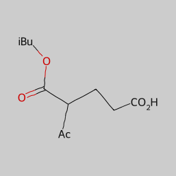 CCC(C)OC(=O)C(CCC(=O)O)C(C)=O